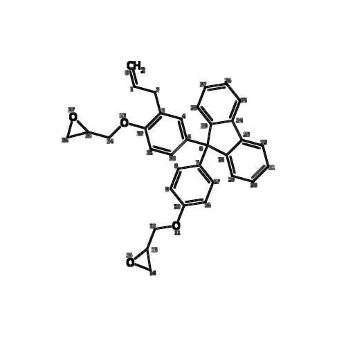 C=CCc1cc(C2(c3ccc(OCC4CO4)cc3)c3ccccc3-c3ccccc32)ccc1OCC1CO1